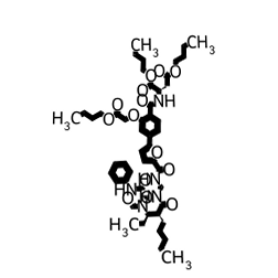 CCCCC[C@@H](C(=O)NCNC(=O)c1ccc(-c2ccc(C(=O)N[C@@H](CC(=O)OCCCC)C(=O)OCCCC)c(OCC(=O)OCCCC)c2)o1)[C@@H](CC)N(C=O)OC(=O)Nc1ccccc1